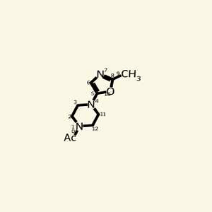 CC(=O)N1CCN(c2cnc(C)o2)CC1